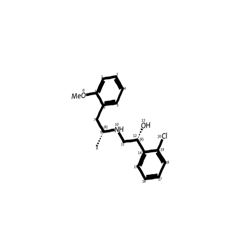 COc1ccccc1C[C@@H](C)NC[C@H](O)c1ccccc1Cl